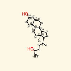 CC(C)C(O)CCC(C)C1CCC2C3CC=C4C[C@@H](O)CC[C@]4(C)C3CC[C@]12C